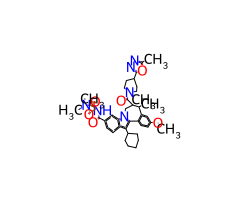 COc1ccc2c(c1)C(C)C(C)(C(=O)N1CCC(c3nnc(C)o3)CC1)Cn1c-2c(C2CCCCC2)c2ccc(C(=O)NS(=O)(=O)N(C)C)cc21